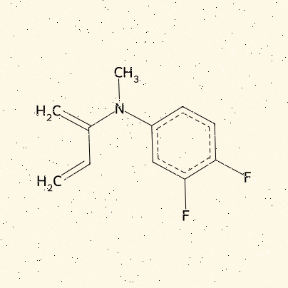 C=CC(=C)N(C)c1ccc(F)c(F)c1